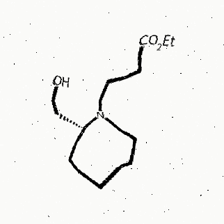 CCOC(=O)CCN1CCCC[C@@H]1CO